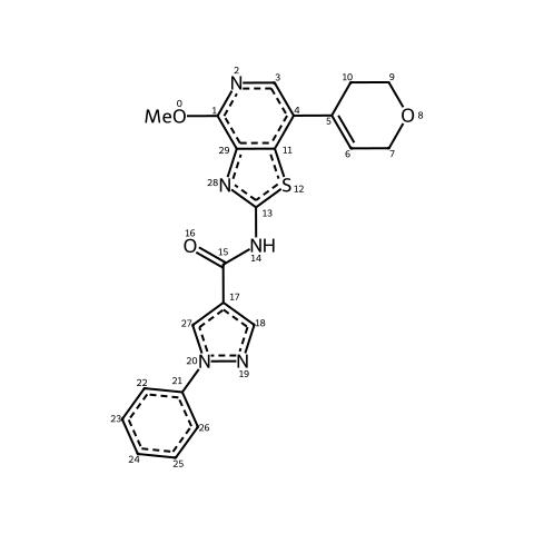 COc1ncc(C2=CCOCC2)c2sc(NC(=O)c3cnn(-c4ccccc4)c3)nc12